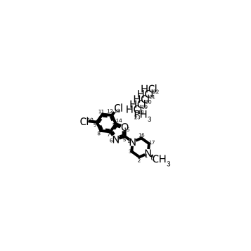 CN1CCN(c2nc3cc(Cl)cc(Cl)c3o2)CC1.Cl.Cl.Cl.Cl.Cl.P